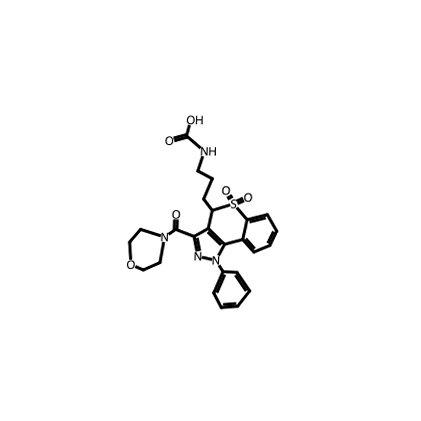 O=C(O)NCCCC1c2c(C(=O)N3CCOCC3)nn(-c3ccccc3)c2-c2ccccc2S1(=O)=O